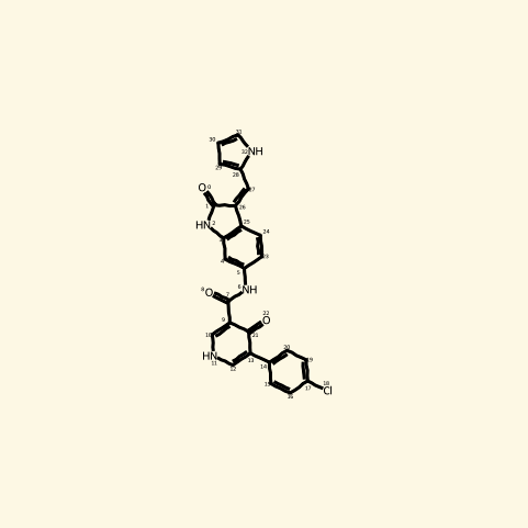 O=C1Nc2cc(NC(=O)c3c[nH]cc(-c4ccc(Cl)cc4)c3=O)ccc2C1=Cc1ccc[nH]1